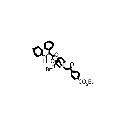 CCOC(=O)c1ccc(C(=O)C[N+]23CCC(CC2)[C@@H](OC(=O)[C@H](Nc2ccccc2)c2ccccc2)C3)cc1.[Br-]